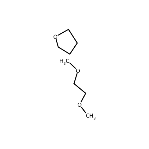 C1CCOC1.COCCOC